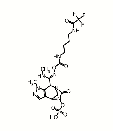 CN/C(=N\OC(=O)NCCCCNC(=O)C(F)(F)F)C1c2c(cnn2C)C2CN1C(=O)N2OS(=O)(=O)O